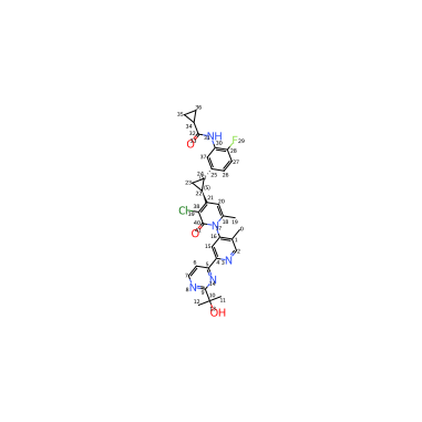 Cc1cnc(-c2ccnc(C(C)(C)O)n2)cc1-n1c(C)cc([C@H]2C[C@@H]2c2ccc(F)c(NC(=O)C3CC3)c2)c(Cl)c1=O